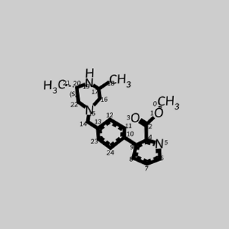 COC(=O)c1ncccc1-c1ccc(CN2CC(C)N[C@@H](C)C2)cc1